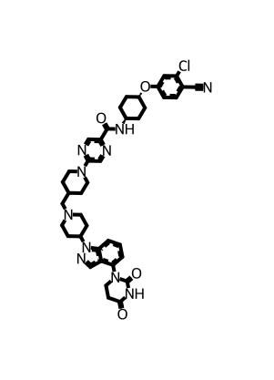 N#Cc1ccc(O[C@H]2CC[C@H](NC(=O)c3cnc(N4CCC(CN5CCC(n6ncc7c(N8CCC(=O)NC8=O)cccc76)CC5)CC4)cn3)CC2)cc1Cl